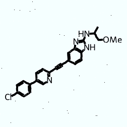 COCC(C)Nc1nc2cc(C#Cc3ccc(-c4ccc(Cl)cc4)cn3)ccc2[nH]1